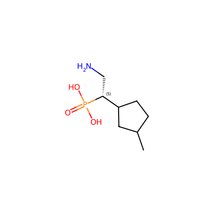 CC1CCC([C@@H](CN)P(=O)(O)O)C1